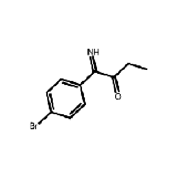 CCC(=O)C(=N)c1c[c]c(Br)cc1